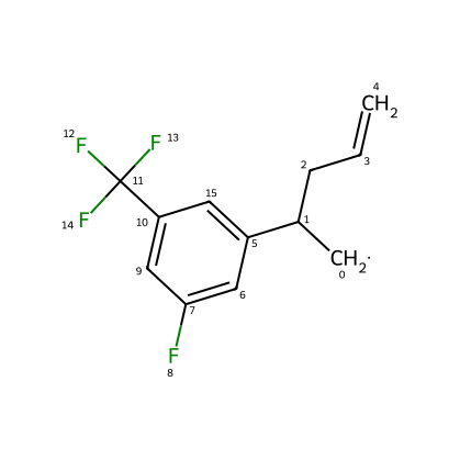 [CH2]C(CC=C)c1cc(F)cc(C(F)(F)F)c1